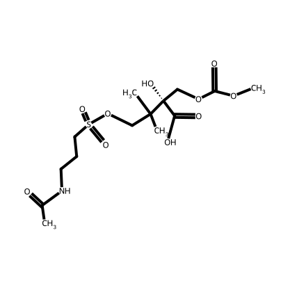 COC(=O)OC[C@@](O)(C(=O)O)C(C)(C)COS(=O)(=O)CCCNC(C)=O